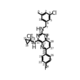 Cc1cc(Cl)cc(CNc2nc(NC3(C(F)(F)F)CC3)c3nc(-c4ccc(F)cc4)ccc3n2)c1